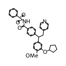 COc1ccc(C(Cc2ccncc2)c2ccc(C(=O)NS(=O)(=O)c3ccccc3)cc2)cc1OC1CCCC1